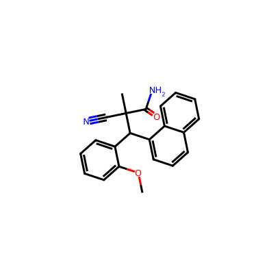 COc1ccccc1C(c1cccc2ccccc12)C(C)(C#N)C(N)=O